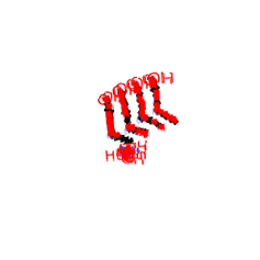 CCCCCCCC/C=C\CCCCCCCCCCCC(=O)O.CCCCCCCC/C=C\CCCCCCCCCCCC(=O)O.CCCCCCCC/C=C\CCCCCCCCCCCC(=O)O.CCCCCCCC/C=C\CCCCCCCCCCCC(=O)O.O=[N+]([O-])C(CO)(CO)C(CO)(CO)[N+](=O)[O-]